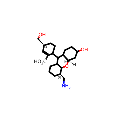 NC[C@H]1CCCC2C(C3CC[C@H](CO)C=C3C(=O)O)C3CCC(O)C[C@H]3OC21